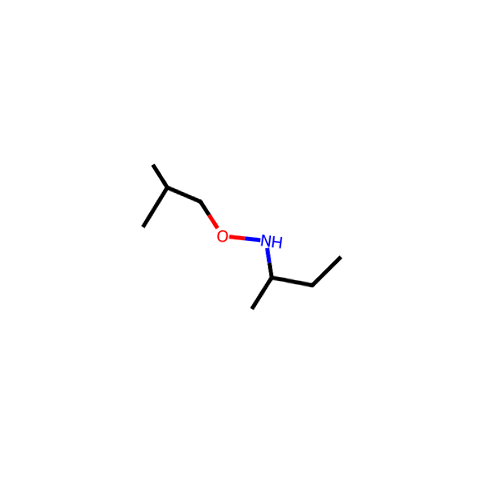 CCC(C)NOCC(C)C